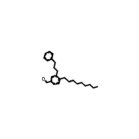 CCCCCCCCCc1ccc(C=O)cc1CCCc1ccccc1